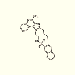 CCCCc1nc2c(N)nc3ccccc3c2n1CCNS(=O)(=O)c1ccc2ccccc2c1